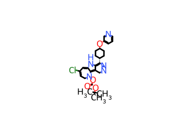 CC(C)(C)OC(=O)ON1CC=C(Cl)C=c2[nH]c3c(c21)CN=NC=3[C@H]1CC[C@H](Oc2cccnc2)CC1